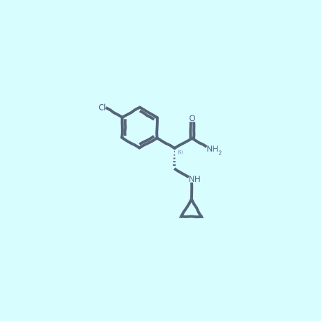 NC(=O)[C@H](CNC1CC1)c1ccc(Cl)cc1